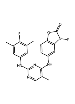 Cc1cnc(Nc2cc(C)c(F)c(C)c2)nc1Nc1ccc2oc(=O)n(F)c2c1